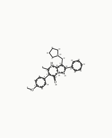 COc1ccc(-c2c(C)[nH]c3c(CN4CCCC4)c(-c4ccccc4)nn3c2=O)cc1